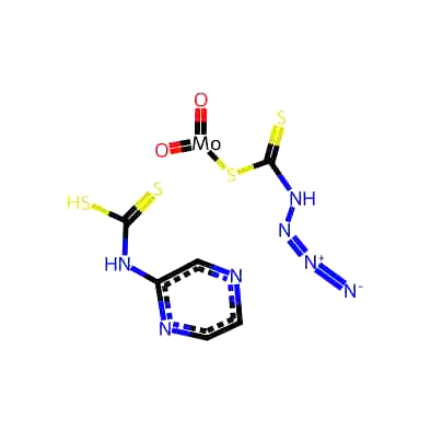 S=C(S)Nc1cnccn1.[N-]=[N+]=NNC(=S)[S][Mo](=[O])=[O]